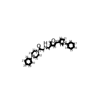 O=C(CNCc1coc(-c2ccn(-c3ccccc3)n2)c1)N1CCN(c2ccccc2)CC1